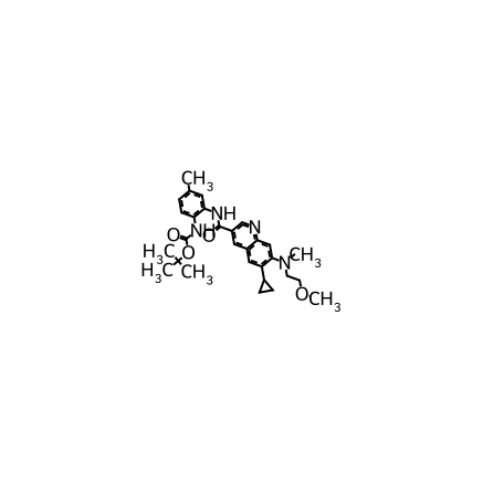 COCCN(C)c1cc2ncc(C(=O)Nc3cc(C)ccc3NC(=O)OC(C)(C)C)cc2cc1C1CC1